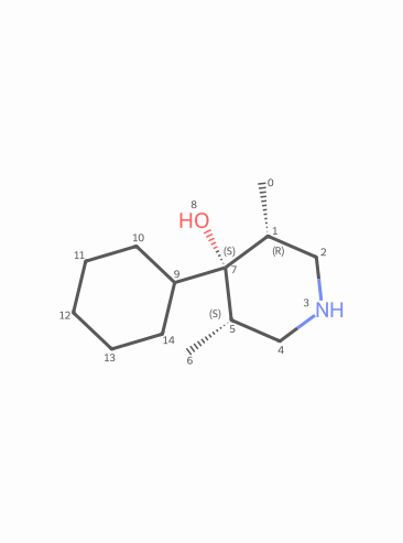 C[C@@H]1CNC[C@H](C)[C@@]1(O)C1CCCCC1